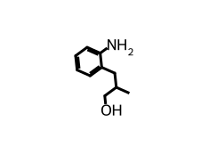 CC(CO)Cc1ccccc1N